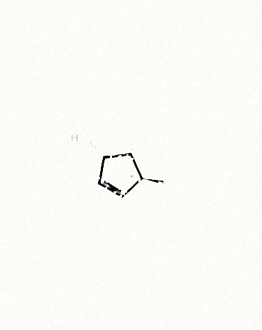 C[C@H]1C=C[C@H](C(=O)O)C1